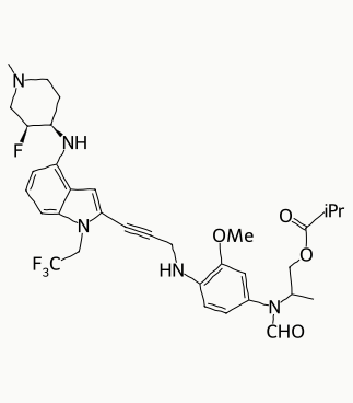 COc1cc(N(C=O)C(C)COC(=O)C(C)C)ccc1NCC#Cc1cc2c(N[C@@H]3CCN(C)C[C@@H]3F)cccc2n1CC(F)(F)F